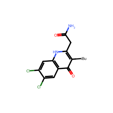 CCC(C)c1c(CC(N)=O)[nH]c2cc(Cl)c(Cl)cc2c1=O